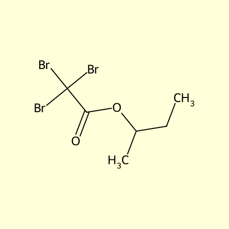 CCC(C)OC(=O)C(Br)(Br)Br